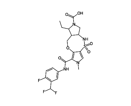 CCC1C2COc3c(cn(C)c3C(=O)Nc3ccc(F)c(C(F)F)c3)S(=O)(=O)NC2CN1C(=O)O